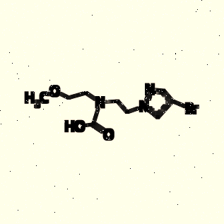 COCCN(CCn1cc(Br)cn1)C(=O)O